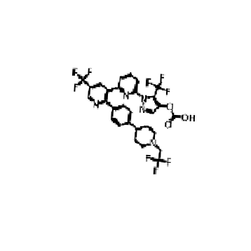 O=C(O)Oc1cnn(-c2cccc(-c3cc(C(F)(F)F)cnc3-c3ccc(C4CCN(CC(F)(F)F)CC4)cc3)n2)c1C(F)(F)F